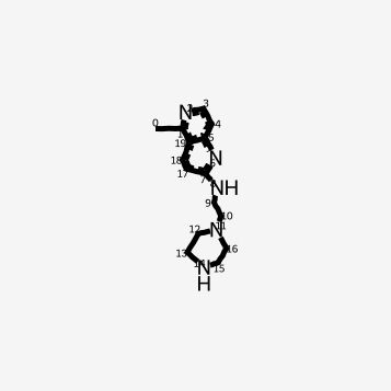 Cc1nccc2nc(NCCN3CCNCC3)ccc12